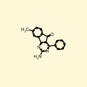 Cc1ccc2c(c1)-c1nc(N)nc(-c3ccccc3)c1C2=O